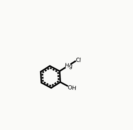 Oc1cccc[c]1[Hg][Cl]